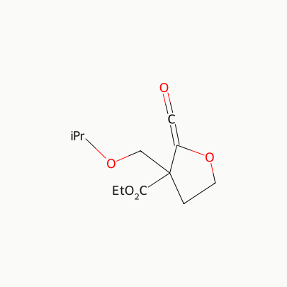 CCOC(=O)C1(COC(C)C)CCOC1=C=O